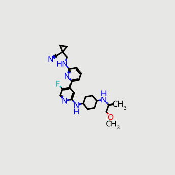 COCC(C)NC1CCC(Nc2cc(-c3cccc(NCC4(C#N)CC4)n3)c(F)cn2)CC1